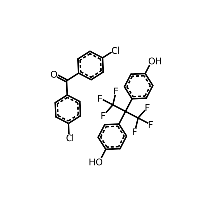 O=C(c1ccc(Cl)cc1)c1ccc(Cl)cc1.Oc1ccc(C(c2ccc(O)cc2)(C(F)(F)F)C(F)(F)F)cc1